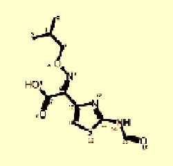 CC(C)CO/N=C(\C(=O)O)c1csc(NC=O)n1